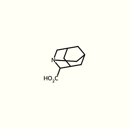 O=C(O)C1C2CC3CC(C2)CN1C3